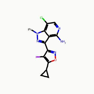 CC(C)n1nc(-c2noc(C3CC3)c2I)c2c(N)ncc(Cl)c21